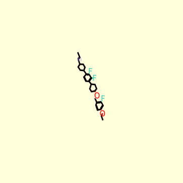 C/C=C/C1CCC(c2ccc(C3CCC(OCc4ccc(OCC)cc4F)CC3)c(F)c2F)CC1